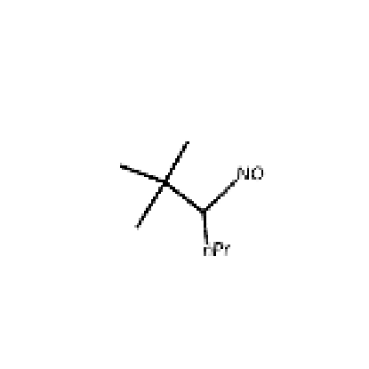 CCCC(N=O)C(C)(C)C